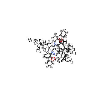 Cc1cc([Si](C)(C)C)ccc1N(c1cc(N(c2ccc([Si](C)(C)C)cc2C)c2cccc3c2oc2ccccc23)c2ccc3cc(C(C)(C)C)cc4ccc1c2c43)c1cccc2c1oc1ccccc12